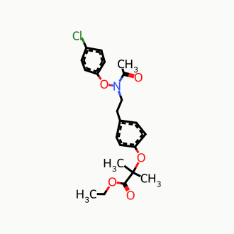 CCOC(=O)C(C)(C)Oc1ccc(CCN(Oc2ccc(Cl)cc2)C(C)=O)cc1